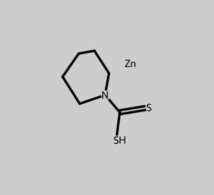 S=C(S)N1CCCCC1.[Zn]